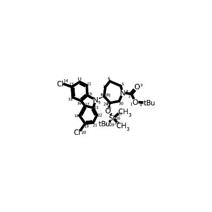 CC(C)(C)OC(=O)N1CCC[C@@H](n2c3ccc(Cl)cc3c3cc(Cl)ccc32)[C@H](O[Si](C)(C)C(C)(C)C)C1